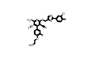 [C-]#[N+]c1c(N)nc(SCc2coc(-c3ccc(F)c(Cl)c3)n2)c(C#N)c1-c1ccc(OCCO)c(F)c1